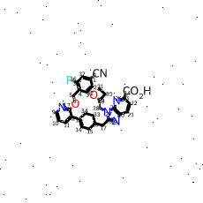 N#Cc1ccc(COc2ncccc2C2=CCC(Cc3nc4ccc(C(=O)O)nc4n3C[C@@H]3CCO3)CC2)c(F)c1